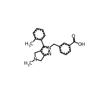 Cc1ccccc1-c1c2c(nn1Cc1cccc(C(=O)O)c1)CN(C)C2